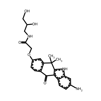 CC1(C)c2cc(OCC(=O)NCC(O)CO)ccc2C(=O)c2c1[nH]c1cc(N)ccc21